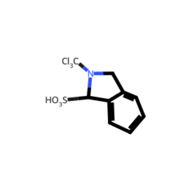 O=S(=O)(O)C1c2ccccc2CN1C(Cl)(Cl)Cl